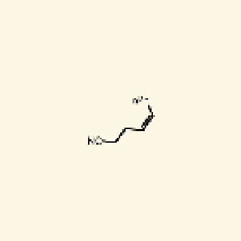 CCC/C=C\CCC#N